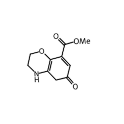 COC(=O)C1=CC(=O)CC2=C1OCCN2